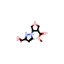 COC(=O)C1COCC1n1ccc(C=O)n1